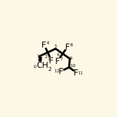 C=CC(F)(F)CC(F)(F)CC(F)F